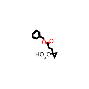 O=C(CCC1(C(=O)O)CC1)OCc1ccccc1